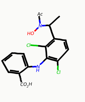 CC(=O)N(O)C(C)c1ccc(Cl)c(Nc2ccccc2C(=O)O)c1Cl